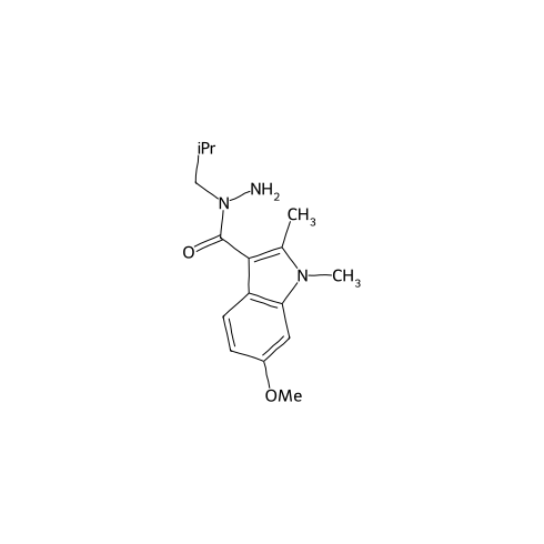 COc1ccc2c(C(=O)N(N)CC(C)C)c(C)n(C)c2c1